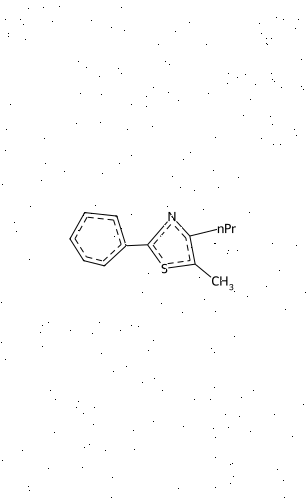 CCCc1nc(-c2ccccc2)sc1C